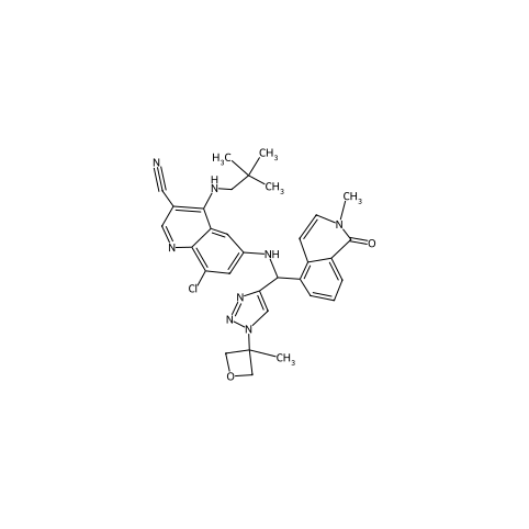 Cn1ccc2c(C(Nc3cc(Cl)c4ncc(C#N)c(NCC(C)(C)C)c4c3)c3cn(C4(C)COC4)nn3)cccc2c1=O